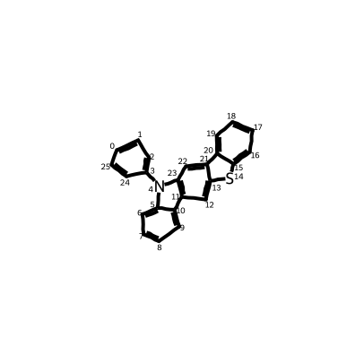 c1ccc(-n2c3ccccc3c3cc4sc5ccccc5c4cc32)cc1